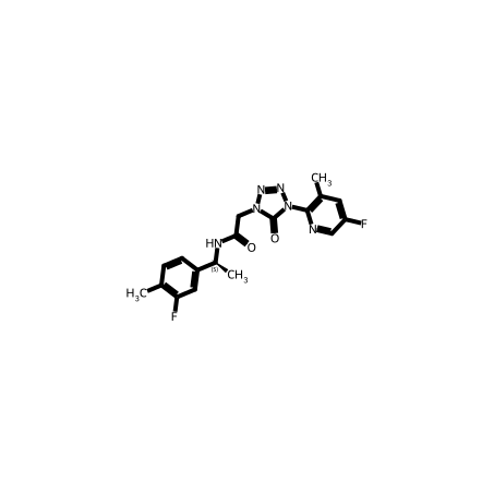 Cc1ccc([C@H](C)NC(=O)Cn2nnn(-c3ncc(F)cc3C)c2=O)cc1F